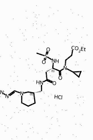 CCOC(=O)CCN(C(=O)[C@H](CC(=O)NC[C@@H]1CCCN(C=NN)C1)NS(C)(=O)=O)C1CC1.Cl